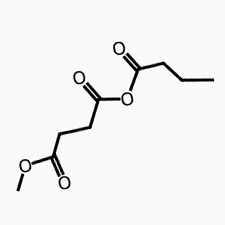 CCCC(=O)OC(=O)CCC(=O)OC